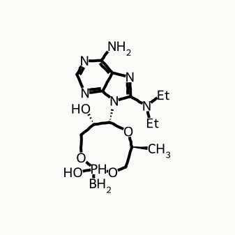 B[PH]1(O)OC[C@H](C)O[C@@H](n2c(N(CC)CC)nc3c(N)ncnc32)[C@@H](O)CO1